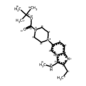 CCc1nc2ccc(N3CCN(C(=O)OC(C)(C)C)CC3)cn2c1NC